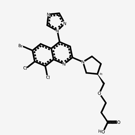 O=C(O)CCOC[C@@H]1CCN(c2cc(-n3cncn3)c3cc(Br)c(Cl)c(Cl)c3n2)C1